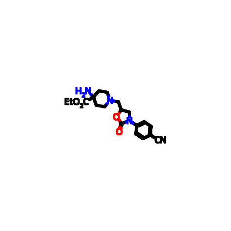 CCOC(=O)C1(N)CCN(CC2CN(c3ccc(C#N)cc3)C(=O)O2)CC1